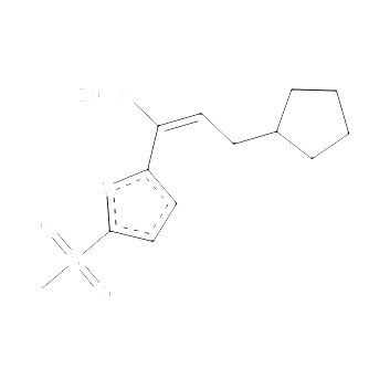 CCOC(=O)C(=CCC1CCCC1)c1ccc(S(C)(=O)=O)s1